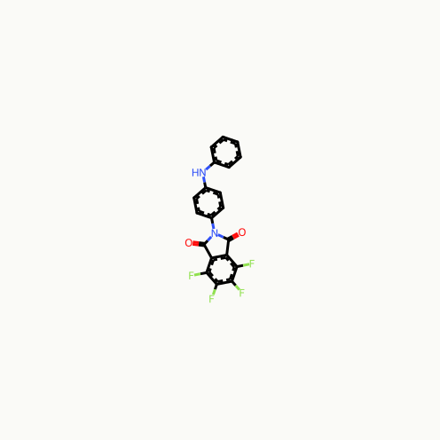 O=C1c2c(F)c(F)c(F)c(F)c2C(=O)N1c1ccc(Nc2ccccc2)cc1